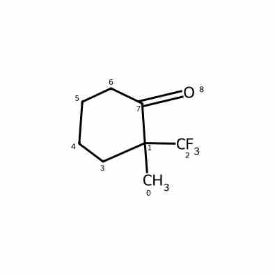 CC1(C(F)(F)F)CCCCC1=O